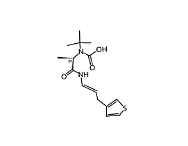 C[C@H](C(=O)NC=CCc1ccsc1)N(C(=O)O)C(C)(C)C